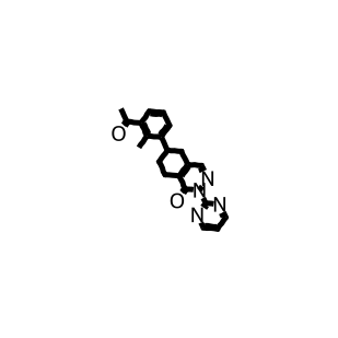 CC(=O)c1cccc(C2CCc3c(cnn(-c4ncccn4)c3=O)C2)c1C